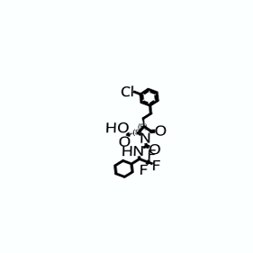 O=C(O)[C@@H]1[C@@H](CCc2cccc(Cl)c2)C(=O)N1C(=O)NC(C1CCCCC1)C(F)(F)F